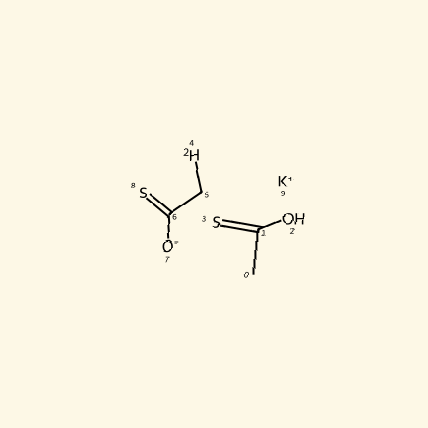 CC(O)=S.[2H]CC([O-])=S.[K+]